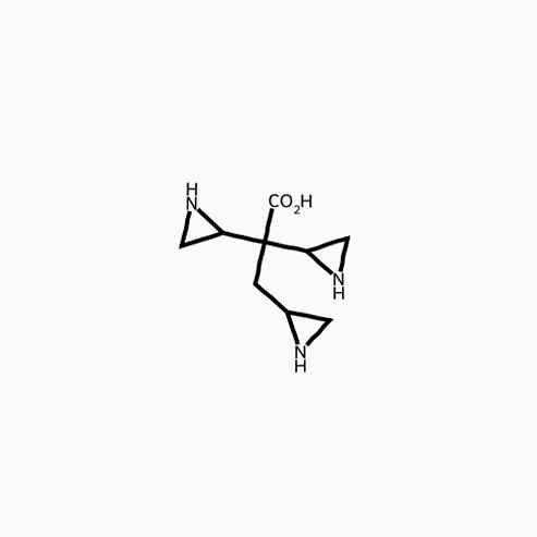 O=C(O)C(CC1CN1)(C1CN1)C1CN1